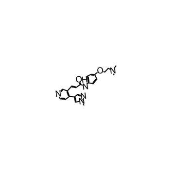 CN(C)CCOc1ccc(NC(=O)/C=C/c2cnccc2-c2cnn(C)c2)cc1